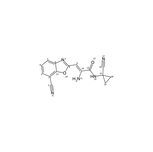 N#Cc1cccc2nc(C=C(N)C(=O)NC3(C#N)CC3)oc12